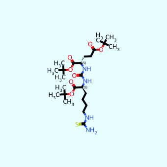 CC(C)(C)OC(=O)CC[C@H](NC(=O)N[C@@H](CCCCNC(N)=S)C(=O)OC(C)(C)C)C(=O)OC(C)(C)C